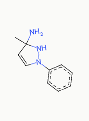 CC1(N)C=CN(c2ccccc2)N1